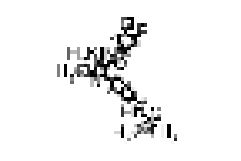 CN(C)C(=O)NCC1CC2CC(c3nn(C)c(N)c3C(=O)Nc3ccc(F)c(Cl)c3)CC2C1